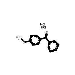 COc1ccc(C(=O)c2ccccc2)cc1.Cl.Cl